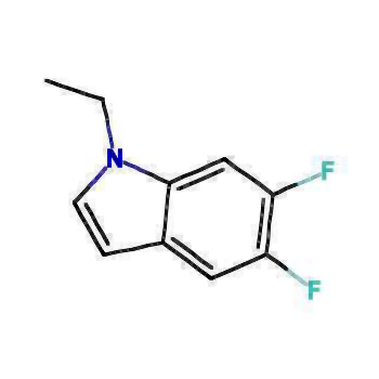 CCn1ccc2cc(F)c(F)cc21